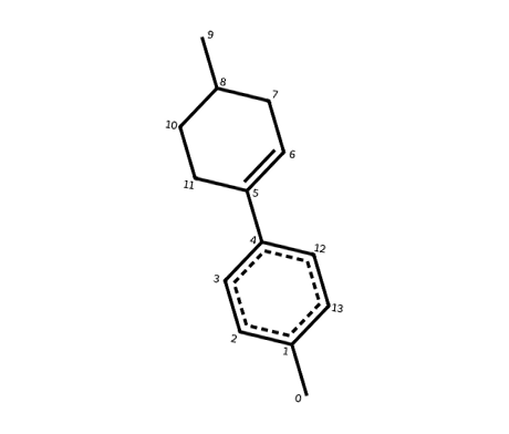 Cc1ccc(C2=CCC(C)CC2)cc1